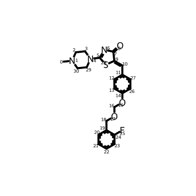 CN1CCN(C2=NC(=O)/C(=C/c3ccc(OCOCc4ccccc4F)cc3)S2)CC1